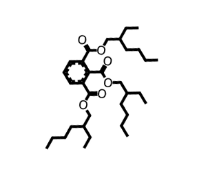 CCCCC(CC)COC(=O)c1cccc(C(=O)OCC(CC)CCCC)c1C(=O)OCC(CC)CCCC